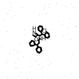 O=C(CC(c1ccccc1)c1ccccc1)NC(C1CCNC1)C(c1ccccc1)c1ccccc1Cl